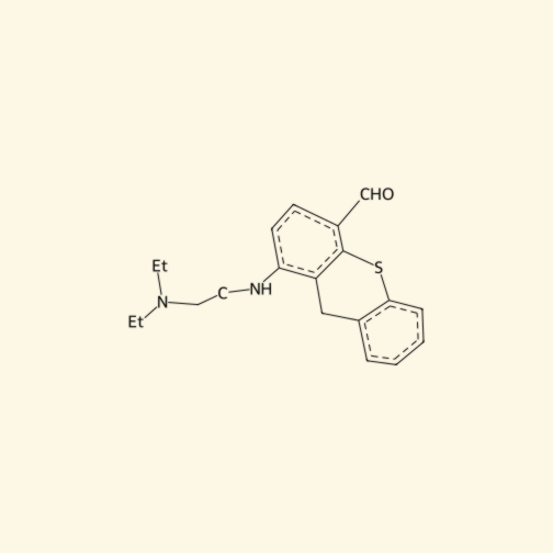 CCN(CC)CCNc1ccc(C=O)c2c1Cc1ccccc1S2